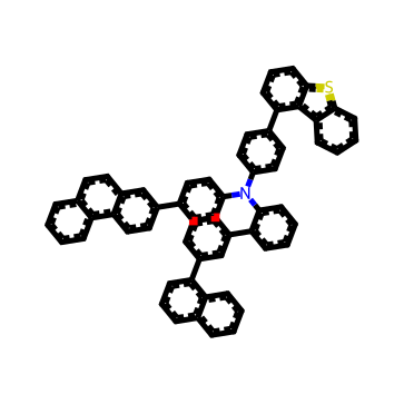 c1cc(-c2ccccc2N(c2ccc(-c3ccc4c(ccc5ccccc54)c3)cc2)c2ccc(-c3cccc4sc5ccccc5c34)cc2)cc(-c2cccc3ccccc23)c1